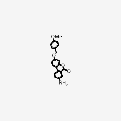 COc1ccc(COc2ccc3c(c2)oc(=O)c2cc(N)ccc23)cc1